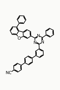 N#Cc1ccc(-c2ccc(-c3cccc(-c4nc(-c5ccccc5)nc(-c5ccc6c(c5)oc5cccc(-c7ccccc7)c56)n4)c3)cc2)cc1